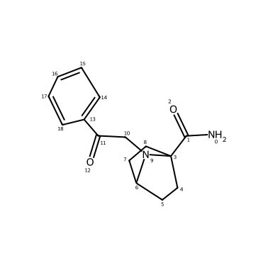 NC(=O)C12CCC(CC1)N2CC(=O)c1ccccc1